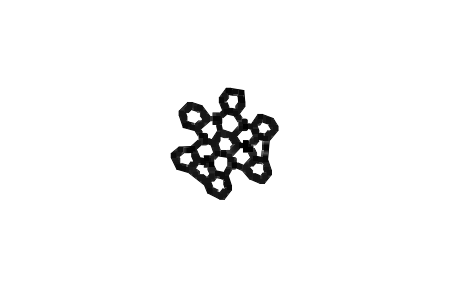 c1ccc2c(c1)B1c3ccccc3B3c4c1c1c5c6c4-n4c7c3cccc7c3cccc(c34)B6c3cccc4c6cccc(c6n-5c34)B21